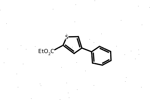 CCOC(=O)c1cc(-c2ccccc2)cs1